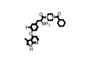 Cc1c[nH]c2nccc(Oc3ccc(C[C@H](N)C(=O)N4CCN(C(=O)C5CCCCC5)CC4)cc3F)c12